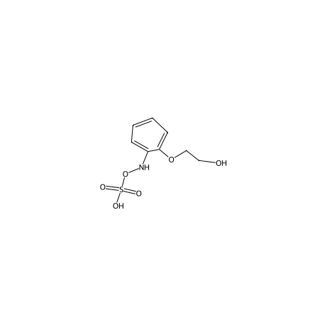 O=S(=O)(O)ONc1ccccc1OCCO